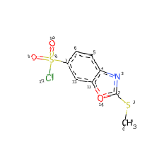 CSc1nc2ccc(S(=O)(=O)Cl)cc2o1